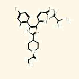 CC(C)c1nnc2ccc(-c3nc(C4CCN(C(=O)CO)CC4)[nH]c3-c3ccc(F)cc3F)nn12